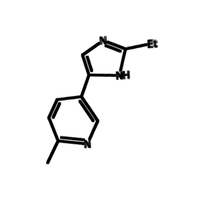 CCc1ncc(-c2ccc(C)nc2)[nH]1